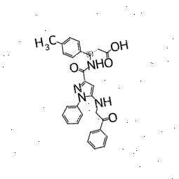 Cc1ccc([C@H](CC(=O)O)NC(=O)c2cc(NCC(=O)c3ccccc3)n(-c3ccccc3)n2)cc1